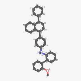 COc1ccccc1-c1ccccc1Nc1ccc(-c2ccc(-c3ccccc3)c3ccccc23)cc1